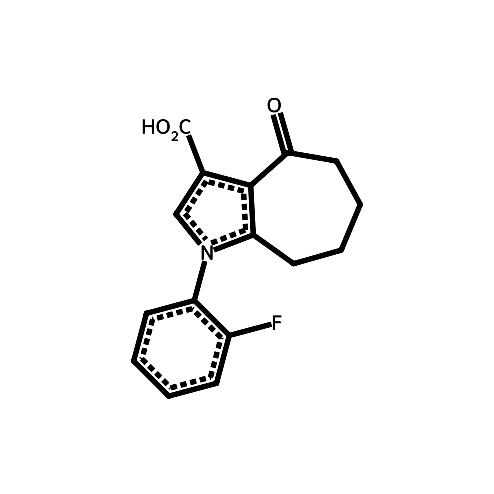 O=C(O)c1cn(-c2ccccc2F)c2c1C(=O)CCCC2